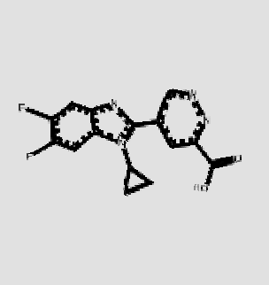 O=C(O)c1cc(-c2nc3cc(F)c(F)cc3n2C2CC2)cnn1